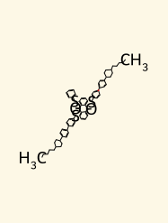 CCCCCC1CCC(c2ccc(-c3ccc(Sc4cccc5c4C(=O)c4c(Sc6ccccc6)ccc(Sc6ccc(-c7ccc(C8CCC(CCCCC)CC8)cc7)cc6)c4C5=O)cc3)cc2)CC1